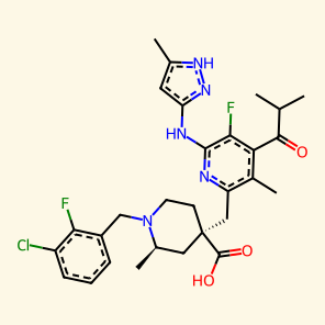 Cc1cc(Nc2nc(C[C@@]3(C(=O)O)CCN(Cc4cccc(Cl)c4F)[C@H](C)C3)c(C)c(C(=O)C(C)C)c2F)n[nH]1